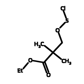 CCOC(=O)C(C)(C)COSCl